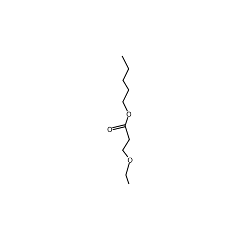 CCCCCOC(=O)CCOCC